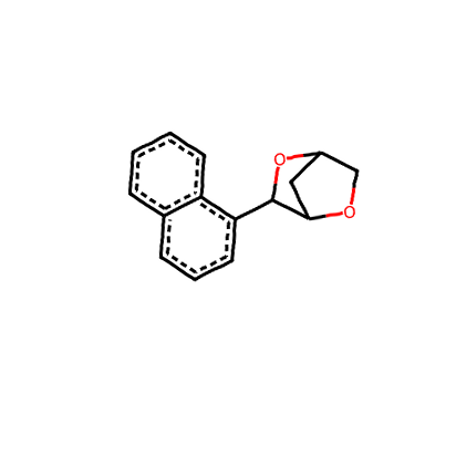 c1ccc2c(C3OC4COC3C4)cccc2c1